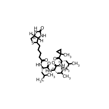 CC(C)C[C@H](NC(=O)CCCCC1SC[C@@H]2NC(=O)N[C@H]12)C(=O)N[C@@H](CC(C)C)C(=O)N[C@@H](CC(C)C)C(=O)C1(C)CC1